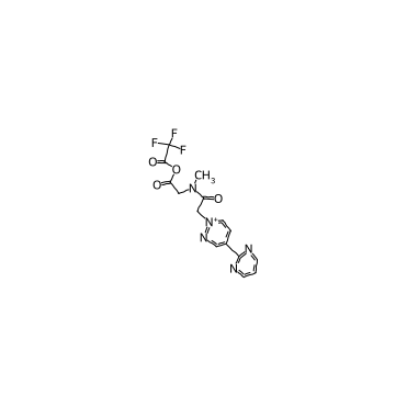 CN(CC(=O)OC(=O)C(F)(F)F)C(=O)C[n+]1ccc(-c2ncccn2)cn1